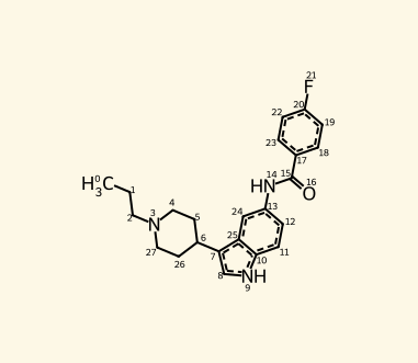 CCCN1CCC(c2c[nH]c3ccc(NC(=O)c4ccc(F)cc4)cc23)CC1